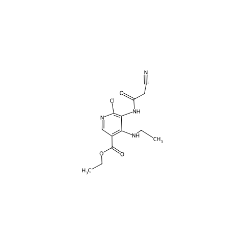 CCNc1c(C(=O)OCC)cnc(Cl)c1NC(=O)CC#N